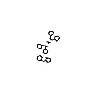 CC1(C)c2ccccc2N(c2ccc(-c3nc4nc(-c5cccc(F)c5)c(-c5cccc(F)c5)nc4nc3-c3ccccc3)cc2)c2ccccc21